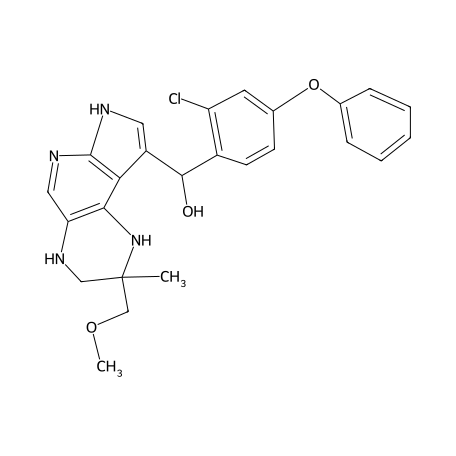 COCC1(C)CNc2cnc3[nH]cc(C(O)c4ccc(Oc5ccccc5)cc4Cl)c3c2N1